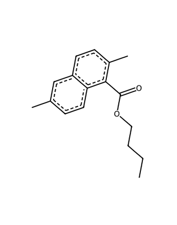 CCCCOC(=O)c1c(C)ccc2cc(C)ccc12